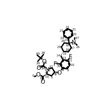 COC(=O)[C@@H]1C[C@H](Oc2ccc(F)c(C[C@H]3CC[C@](c4ccccc4)(N(C)C)CC3)c2F)CN1C(=O)OC(C)(C)C